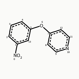 O=[N+]([O-])c1cccc(Oc2ccncc2)c1